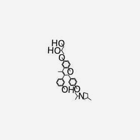 CC1=C(c2cccc(O)c2)C(c2ccc(OCC(C)N3CCC(C)C3)cc2)Oc2ccc(OCC(O)CO)cc21